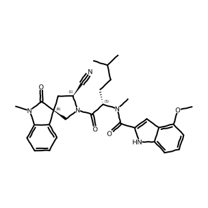 COc1cccc2[nH]c(C(=O)N(C)[C@@H](CCC(C)C)C(=O)N3C[C@]4(C[C@H]3C#N)C(=O)N(C)c3ccccc34)cc12